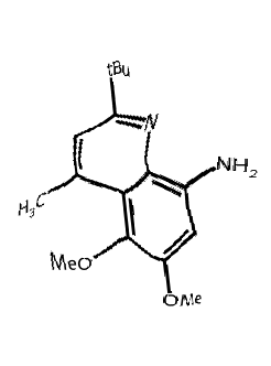 COc1cc(N)c2nc(C(C)(C)C)cc(C)c2c1OC